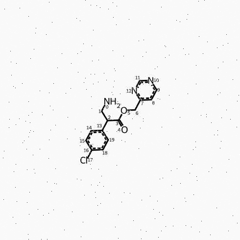 NCC(C(=O)OCc1ccncn1)c1ccc(Cl)cc1